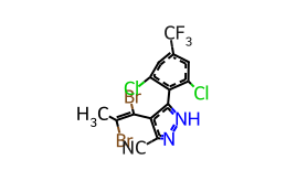 C/C(Br)=C(\Br)c1c(C#N)n[nH]c1-c1c(Cl)cc(C(F)(F)F)cc1Cl